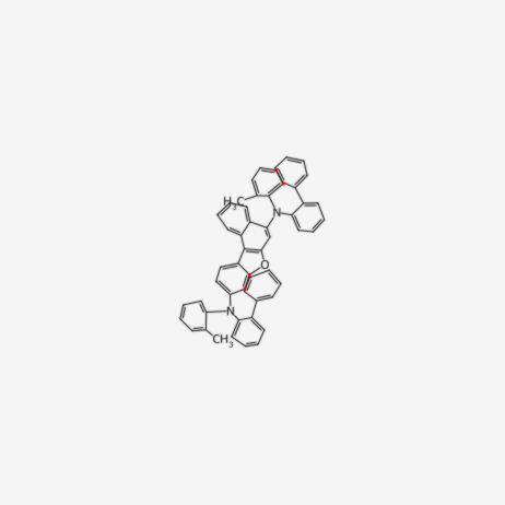 Cc1ccccc1N(c1ccc2c(c1)oc1cc(N(c3ccccc3C)c3ccccc3-c3ccccc3)c3ccccc3c12)c1ccccc1-c1ccccc1